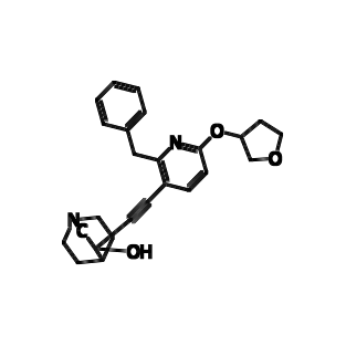 OC1(C#Cc2ccc(OC3CCOC3)nc2Cc2ccccc2)CN2CCC1CC2